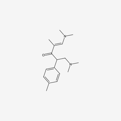 CC(=CN(C)C)C(=O)C(CN(C)C)c1ccc(C)cc1